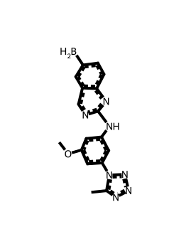 Bc1ccc2nc(Nc3cc(OC)cc(-n4nnnc4C)c3)ncc2c1